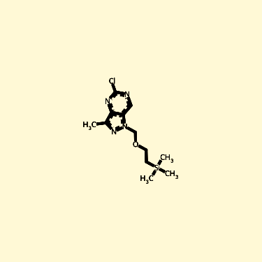 Cc1nn(COCC[Si](C)(C)C)c2cnc(Cl)nc12